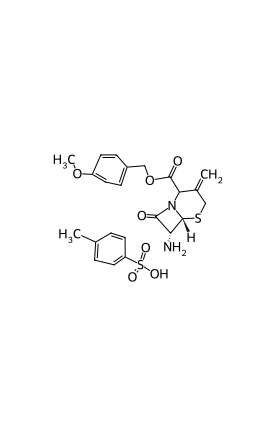 C=C1CS[C@@H]2[C@H](N)C(=O)N2C1C(=O)OCc1ccc(OC)cc1.Cc1ccc(S(=O)(=O)O)cc1